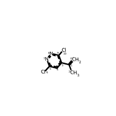 C=C(C)c1cc(Cl)nnc1Cl